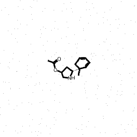 CC(=O)OC1CN[C@@H](C2(C)C=CC=CC2)C1